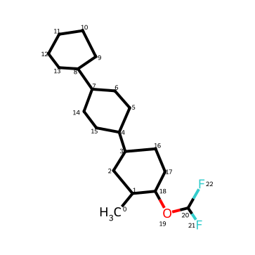 CC1CC(C2CCC(C3CCCCC3)CC2)CCC1OC(F)F